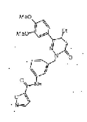 CCC1SC(=O)N(Cc2cccc(NC(=O)c3ccno3)c2)N=C1c1ccc(OC)c(OC)c1